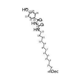 CCCCCCCCCCCCCCCCCCCCCCCNC(=O)NC(=O)c1ccc(O)cc1